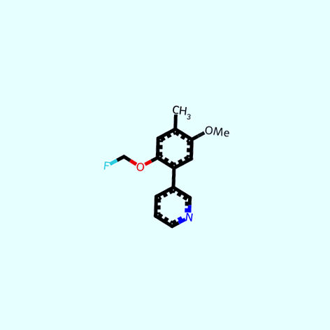 COc1cc(-c2cccnc2)c(OCF)cc1C